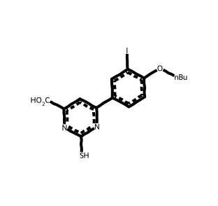 CCCCOc1ccc(-c2cc(C(=O)O)nc(S)n2)cc1I